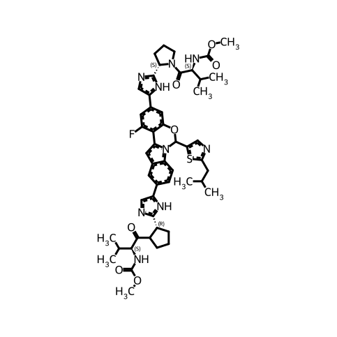 COC(=O)N[C@H](C(=O)C1CCC[C@H]1c1ncc(-c2ccc3c(c2)cc2n3C(c3cnc(CC(C)C)s3)Oc3cc(-c4cnc([C@@H]5CCCN5C(=O)[C@@H](NC(=O)OC)C(C)C)[nH]4)cc(F)c3-2)[nH]1)C(C)C